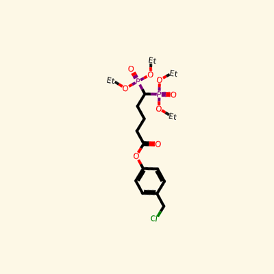 CCOP(=O)(OCC)C(CCCC(=O)Oc1ccc(CCl)cc1)P(=O)(OCC)OCC